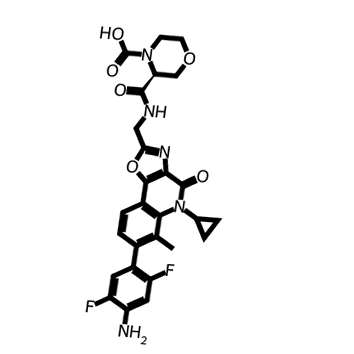 Cc1c(-c2cc(F)c(N)cc2F)ccc2c3oc(CNC(=O)[C@@H]4COCCN4C(=O)O)nc3c(=O)n(C3CC3)c12